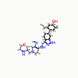 C=NC1=C(NCc2n[nH]c3cc(-c4cc(F)c(O)cc4CC)ccc23)CCN(CC2COCCN2)C1